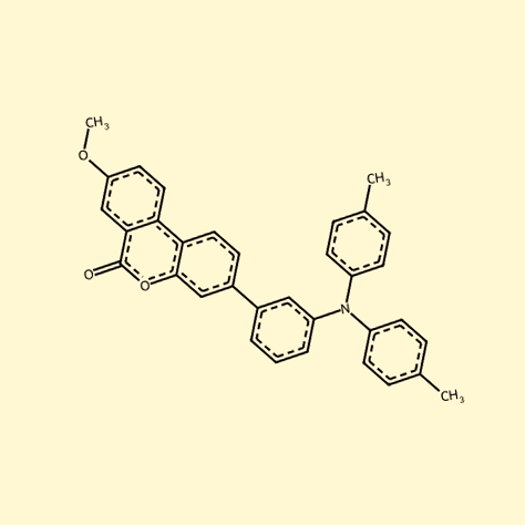 COc1ccc2c(c1)c(=O)oc1cc(-c3cccc(N(c4ccc(C)cc4)c4ccc(C)cc4)c3)ccc12